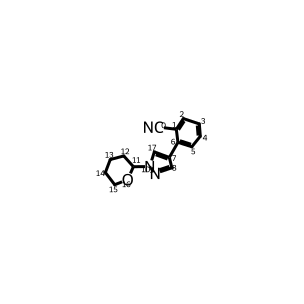 N#Cc1ccccc1-c1cnn(C2CCCCO2)c1